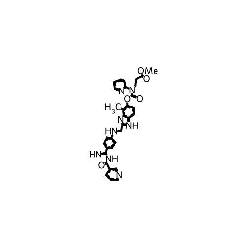 COC(=O)CCN(C(=O)Oc1ccc2[nH]c(CNc3ccc(C(=N)NC(=O)c4cccnc4)cc3)nc2c1C)c1ccccn1